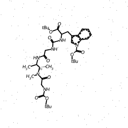 CC(NC(=O)CNC(=O)NC(Cc1cn(C(=O)OC(C)(C)C)c2ccccc12)C(=O)OC(C)(C)C)[C@H](C)N(C)C(=O)CNC(=O)OC(C)(C)C